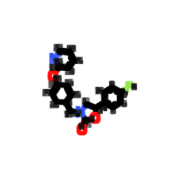 O=C1OC(c2ccc(F)cc2)CN1CC1C=CC(Oc2ccccn2)=CC1